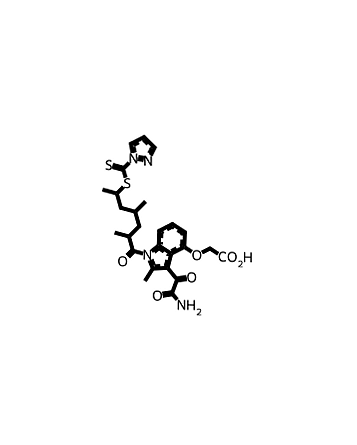 Cc1c(C(=O)C(N)=O)c2c(OCC(=O)O)cccc2n1C(=O)C(C)CC(C)CC(C)SC(=S)n1cccn1